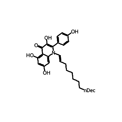 CCCCCCCCCCCCCCCCC=Cn1c(-c2ccc(O)cc2)c(O)c(=O)c2c(O)cc(O)cc21